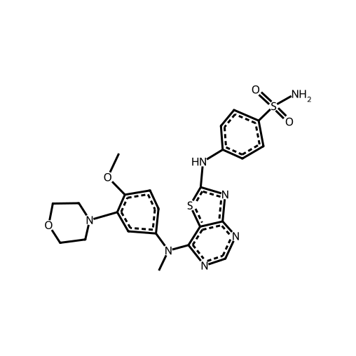 COc1ccc(N(C)c2ncnc3nc(Nc4ccc(S(N)(=O)=O)cc4)sc23)cc1N1CCOCC1